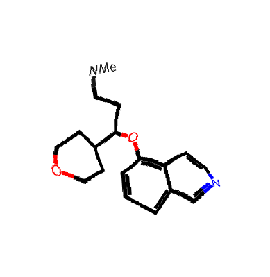 CNCCC(Oc1cccc2cnccc12)C1CCOCC1